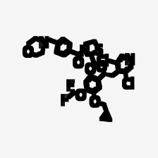 O=C(O[C@@H](Cc1c(Cl)cncc1Cl)c1ccc(OC(F)F)c(OCC2CC2)c1)C1SCCN1C(=O)c1ccc(CN2CCOCC2)cc1